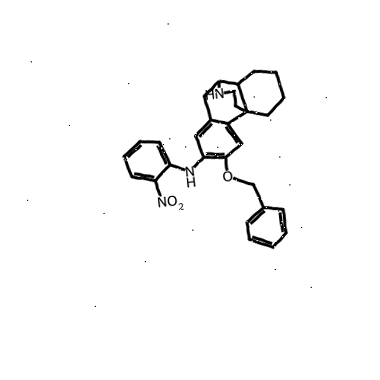 O=[N+]([O-])c1ccccc1Nc1cc2c(cc1OCc1ccccc1)C13CCCCC1C(C2)NCC3